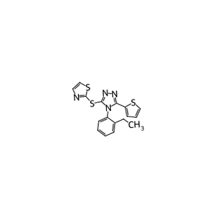 CCc1ccccc1-n1c(Sc2nccs2)nnc1-c1cccs1